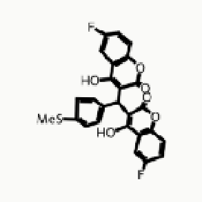 CSc1ccc(C(c2c(O)c3cc(F)ccc3oc2=O)c2c(O)c3cc(F)ccc3oc2=O)cc1